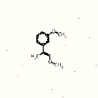 COC=C(C)c1cccc(OC)c1